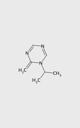 C=C1N=CN=CN1C(C)C